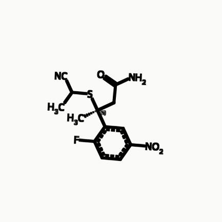 CC(C#N)S[C@@](C)(CC(N)=O)c1cc([N+](=O)[O-])ccc1F